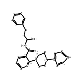 O=C(NC(O)CCc1ccccc1)c1cccnc1N1CCN(c2ccncc2)CC1